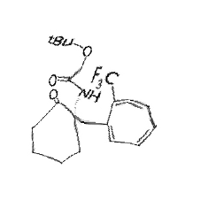 CC(C)(C)OC(=O)N[C@]1(c2ccccc2C(F)(F)F)CCCCC1=O